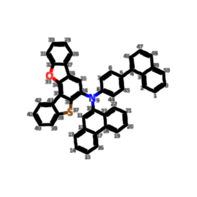 c1ccc2c(-c3ccc(N(c4cc5ccccc5c5ccccc45)c4cc5c6ccccc6oc5c5c4sc4ccccc45)cc3)cccc2c1